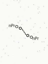 CCC[C@H]1CC[C@H](c2ccc(CCCCCCc3ccc([C@H]4CC[C@H](CCC)CC4)cc3)cc2)CC1